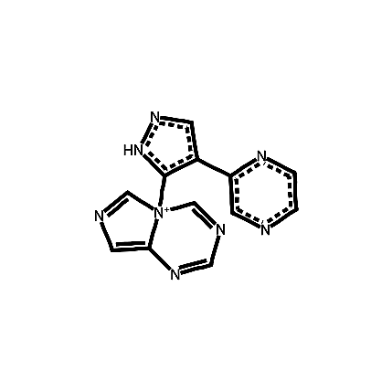 C1=NC=NC2=CN=C[N+]12c1[nH]ncc1-c1cnccn1